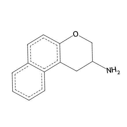 NC1COc2ccc3ccccc3c2C1